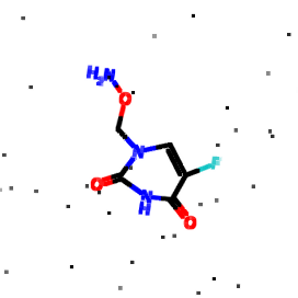 NOCn1cc(F)c(=O)[nH]c1=O